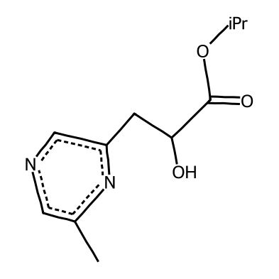 Cc1cncc(CC(O)C(=O)OC(C)C)n1